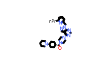 CCCc1cccc(Cn2ncc3c(N4CCN(C(=O)[C@H]5CC[C@H](N6CCCCC6)CC5)CC4)ncnc32)n1